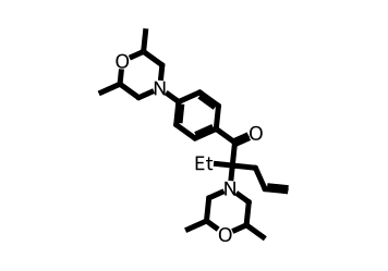 C=CCC(CC)(C(=O)c1ccc(N2CC(C)OC(C)C2)cc1)N1CC(C)OC(C)C1